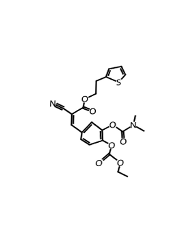 CCOC(=O)Oc1ccc(C=C(C#N)C(=O)OCCc2cccs2)cc1OC(=O)N(C)C